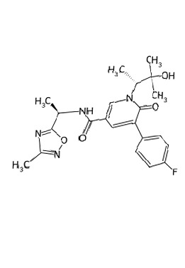 Cc1noc([C@@H](C)NC(=O)c2cc(-c3ccc(F)cc3)c(=O)n([C@H](C)C(C)(C)O)c2)n1